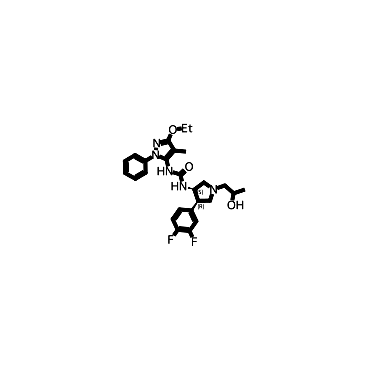 CCOc1nn(-c2ccccc2)c(NC(=O)N[C@@H]2CN(CC(C)O)C[C@H]2c2ccc(F)c(F)c2)c1C